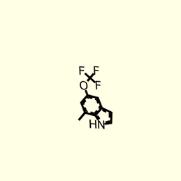 Cc1cc(OC(F)(F)F)cc2cc[nH]c12